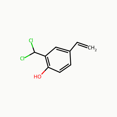 C=Cc1ccc(O)c(C(Cl)Cl)c1